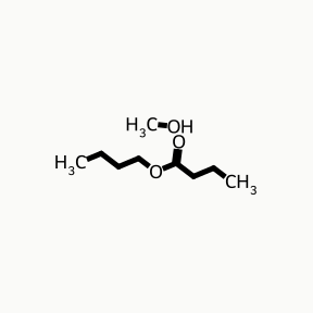 CCCCOC(=O)CCC.CO